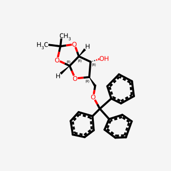 CC1(C)O[C@H]2O[C@H](COC(c3ccccc3)(c3ccccc3)c3ccccc3)[C@@H](O)[C@H]2O1